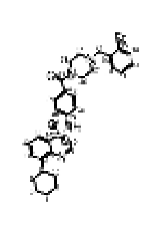 C/C=N\c1c(C2CCCCC2)cccc1S(=O)(=O)Nc1ccc(C(=O)N2CCN(Cc3ccccc3CC)CC2)cc1